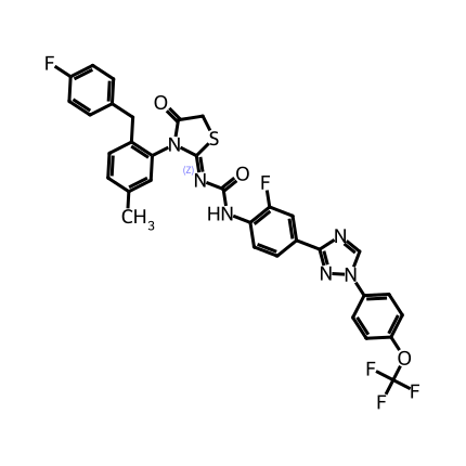 Cc1ccc(Cc2ccc(F)cc2)c(N2C(=O)CS/C2=N\C(=O)Nc2ccc(-c3ncn(-c4ccc(OC(F)(F)F)cc4)n3)cc2F)c1